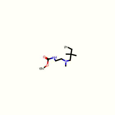 CC(C)CC(C)(C)CN(C)CCNC(=O)OC(C)(C)C